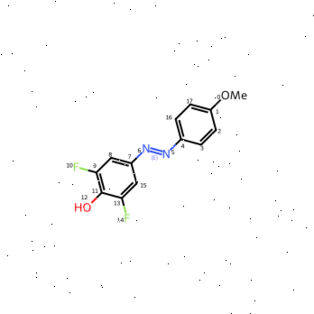 COc1ccc(/N=N/c2cc(F)c(O)c(F)c2)cc1